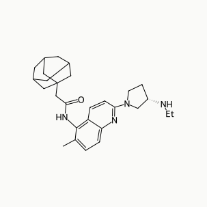 CCN[C@H]1CCN(c2ccc3c(NC(=O)CC45CC6CC(CC(C6)C4)C5)c(C)ccc3n2)C1